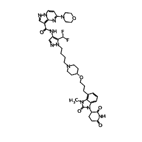 Cn1c(=O)n(C2CCC(=O)NC2=O)c2cccc(CCCOC3CCN(CCCCn4ncc(NC(=O)c5cnn6ccc(N7CCOCC7)nc56)c4C(F)F)CC3)c21